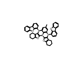 Cc1cc2c3c(c1)N(c1cccc4c1oc1ccccc14)c1c(oc4c1CCCC4)B3c1oc3c(c1N2c1cccc2c1oc1ccccc12)CCCC3